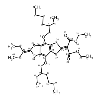 CCCCC(CC)COc1c2c(c(OCC(CC)CCCC)c3c1SC(=C(C(=O)OCC)C(=O)OCC)S3)SC(=C(CC)CC)S2